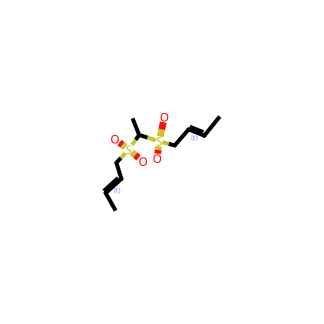 C/C=C/CS(=O)(=O)C(C)S(=O)(=O)C/C=C/C